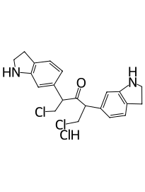 Cl.O=C(C(CCl)c1ccc2c(c1)NCC2)C(CCl)c1ccc2c(c1)NCC2